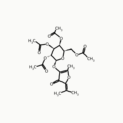 CC(=O)OC[C@H]1O[C@@H](OC2=C(C)OC(=C(C)C)C2=O)[C@H](OC(C)=O)[C@@H](OC(C)=O)[C@H]1OC(C)=O